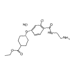 CCOC(=O)C1CCC(Oc2ccc(C(=O)NCCN)c(Cl)c2)CC1.Cl